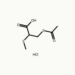 CSC(CSC(C)=O)C(=O)O.Cl